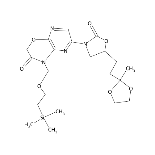 CC1(CCC2CN(c3cnc4c(n3)N(COCC[Si](C)(C)C)C(=O)CO4)C(=O)O2)OCCO1